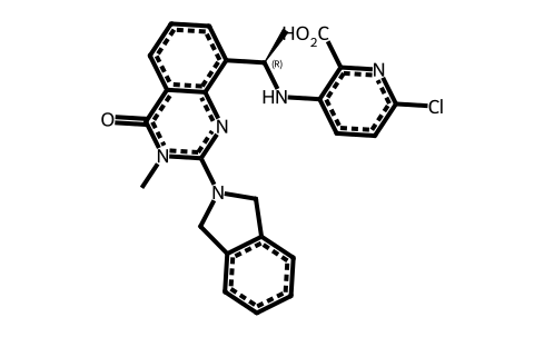 C[C@@H](Nc1ccc(Cl)nc1C(=O)O)c1cccc2c(=O)n(C)c(N3Cc4ccccc4C3)nc12